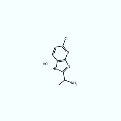 CC(N)c1nc2nc(Cl)ccc2[nH]1.Cl